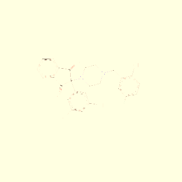 Cc1cc(C)cc(C2(N3CCN(Cc4cc(F)ccc4C)CC3)C(=O)c3ccccc3C2=O)c1